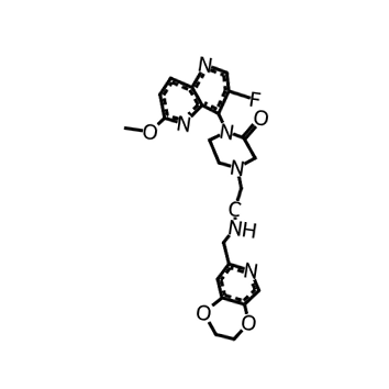 COc1ccc2ncc(F)c(N3CCN(CCNCc4cc5c(cn4)OCCO5)CC3=O)c2n1